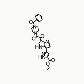 CCOC(=O)c1cc(-c2ccnc3c2NCC3C(=O)C(=O)N2CCN(C(=O)c3ccccc3)CC2)n[nH]1